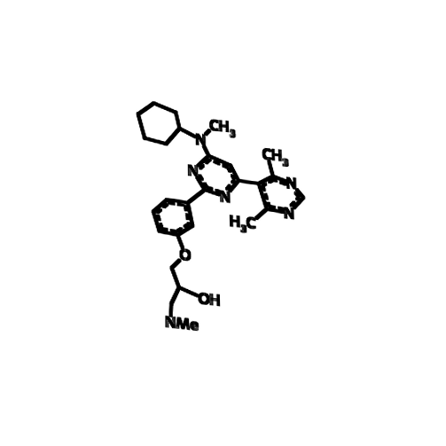 CNCC(O)COc1cccc(-c2nc(-c3c(C)ncnc3C)cc(N(C)C3CCCCC3)n2)c1